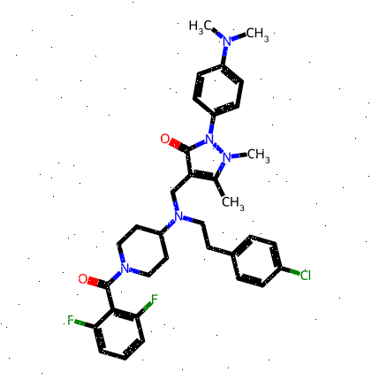 Cc1c(CN(CCc2ccc(Cl)cc2)C2CCN(C(=O)c3c(F)cccc3F)CC2)c(=O)n(-c2ccc(N(C)C)cc2)n1C